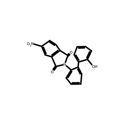 O=C1c2ccc([N+](=O)[O-])cc2C(=O)N1c1ccccc1-c1ccccc1O